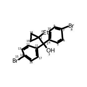 CCC1(C(O)(c2ccc(Br)cc2)c2ccc(Br)cc2)CC1